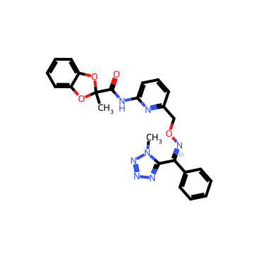 Cn1nnnc1/C(=N\OCc1cccc(NC(=O)C2(C)Oc3ccccc3O2)n1)c1ccccc1